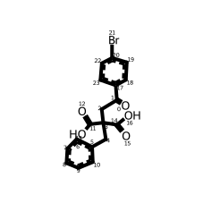 O=C(CC(Cc1ccccc1)(C(=O)O)C(=O)O)c1ccc(Br)cc1